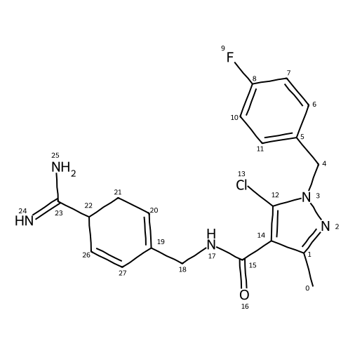 Cc1nn(Cc2ccc(F)cc2)c(Cl)c1C(=O)NCC1=CCC(C(=N)N)C=C1